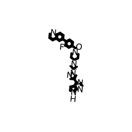 O=C(c1ccc(-c2ccc3ncccc3c2)c(F)c1)N1CCC(N2C[C](n3cc(-c4ncnc5[nH]ccc45)cn3)C2)CC1